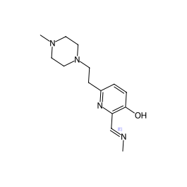 C/N=C/c1nc(CCN2CCN(C)CC2)ccc1O